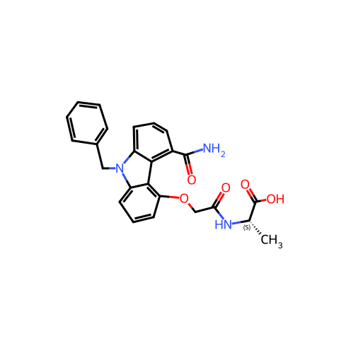 C[C@H](NC(=O)COc1cccc2c1c1c(C(N)=O)cccc1n2Cc1ccccc1)C(=O)O